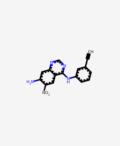 C#Cc1cccc(Nc2ncnc3cc(N)c([N+](=O)[O-])cc23)c1